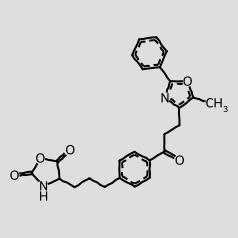 Cc1oc(-c2ccccc2)nc1CCC(=O)c1ccc(CCCC2NC(=O)OC2=O)cc1